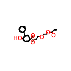 C=CC(=O)OCCOCCS(=O)(=O)c1ccc(O)c(-c2ccccc2)c1